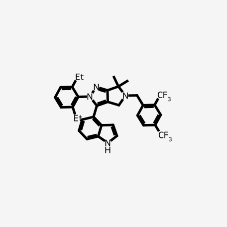 CCc1cccc(CC)c1-n1nc2c(c1-c1cccc3[nH]ccc13)CN(Cc1ccc(C(F)(F)F)cc1C(F)(F)F)C2(C)C